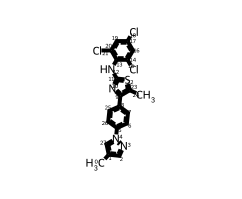 Cc1cnn(-c2ccc(-c3nc(Nc4c(Cl)cc(Cl)cc4Cl)sc3C)cc2)c1